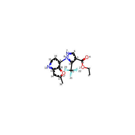 CCOC(=O)c1cnn(-c2ccnc3cc(C)oc23)c1C(F)(F)F